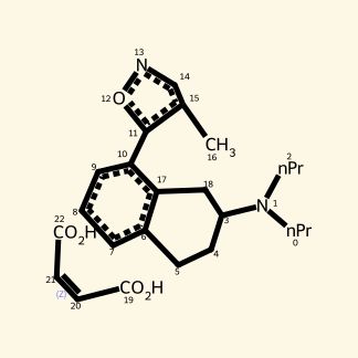 CCCN(CCC)C1CCc2cccc(-c3oncc3C)c2C1.O=C(O)/C=C\C(=O)O